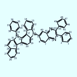 c1ccc(-c2nc3ccc(-n4c5ccccc5c5c4ccc4c6c7ccccc7ccc6n(-c6ccccc6)c45)cc3nc2-c2ccccc2)cc1